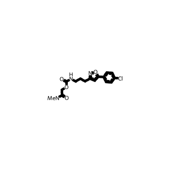 CNC(=O)COC(=O)NCCCc1cc(-c2ccc(Cl)cc2)on1